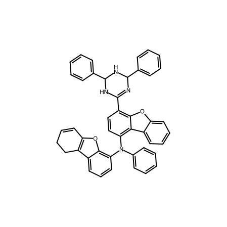 C1=Cc2oc3c(N(c4ccccc4)c4ccc(C5=NC(c6ccccc6)NC(c6ccccc6)N5)c5oc6ccccc6c45)cccc3c2CC1